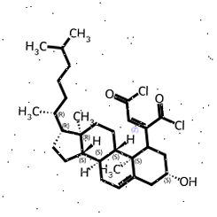 CC(C)CCC[C@@H](C)[C@H]1CC[C@H]2[C@@H]3CC=C4C[C@@H](O)CC(/C(=C/C(=O)Cl)C(=O)Cl)[C@]4(C)[C@H]3CC[C@]12C